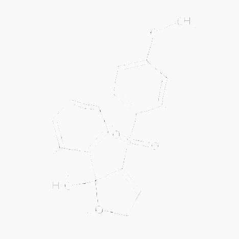 COc1ccc(S(=O)(=O)C2=CCOC2(C)c2ccccc2)cc1